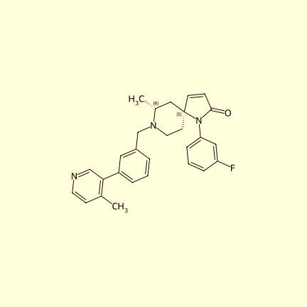 Cc1ccncc1-c1cccc(CN2CC[C@@]3(C=CC(=O)N3c3cccc(F)c3)C[C@H]2C)c1